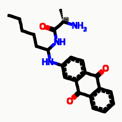 CCCCCC(NC(=O)[C@H](C)N)Nc1ccc2c(c1)C(=O)c1ccccc1C2=O